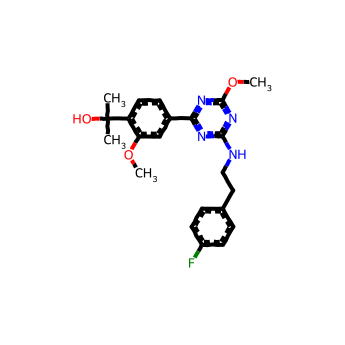 COc1nc(NCCc2ccc(F)cc2)nc(-c2ccc(C(C)(C)O)c(OC)c2)n1